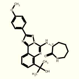 COc1ccc(-c2nc3c4cccc(C(C)(C)O)c4nc(N[C@@H]4CCCCNC4=O)n3n2)cc1